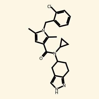 Cc1cc(C(=O)N(C2CC2)C2CCc3n[nH]cc3C2)c(C)n1Cc1ccccc1Cl